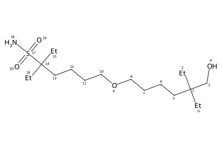 CCC(CC)(CO)CCCCOCCCCC(CC)(CC)S(N)(=O)=O